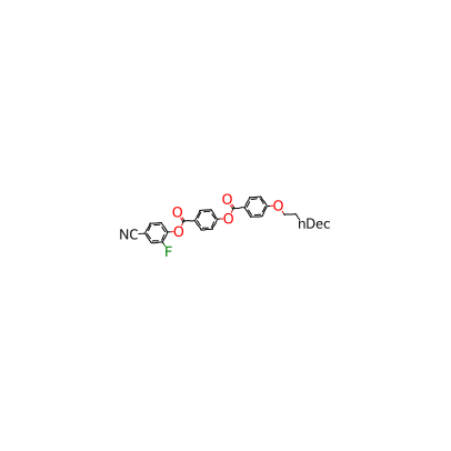 CCCCCCCCCCCCOc1ccc(C(=O)Oc2ccc(C(=O)Oc3ccc(C#N)cc3F)cc2)cc1